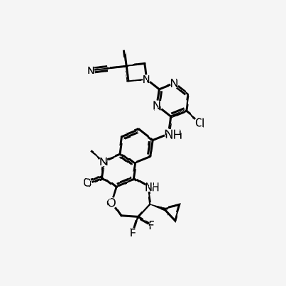 Cn1c(=O)c2c(c3cc(Nc4nc(N5CC(C)(C#N)C5)ncc4Cl)ccc31)N[C@@H](C1CC1)C(F)(F)CO2